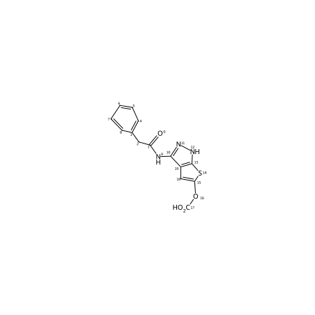 O=C(Cc1ccccc1)Nc1n[nH]c2sc(OC(=O)O)cc12